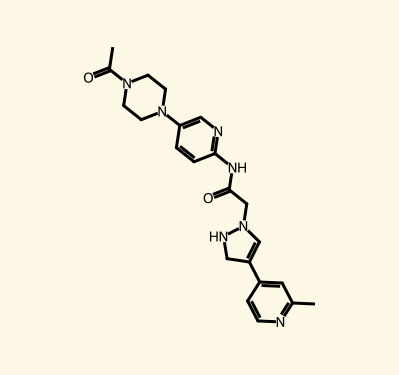 CC(=O)N1CCN(c2ccc(NC(=O)CN3C=C(c4ccnc(C)c4)CN3)nc2)CC1